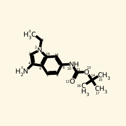 CCn1cc(N)c2ccc(NC(=O)OC(C)(C)C)cc21